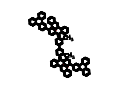 Cc1cc(-c2ccc(N(c3ccc(-c4ccc5c6ccccc6c6ccccc6c5c4)cc3)c3ccccc3-c3ccc4ccccc4c3)c(C)c2)ccc1N(c1ccc(-c2ccc3c4ccccc4c4ccccc4c3c2)cc1)c1ccccc1-c1ccc2ccccc2c1